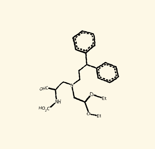 CCOC(CN(CCC(c1ccccc1)c1ccccc1)CC(C=O)NC(=O)O)OCC